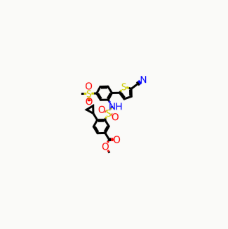 COC(=O)c1ccc(C2CC2)c(S(=O)(=O)Nc2cc(S(C)(=O)=O)ccc2-c2ccc(C#N)s2)c1